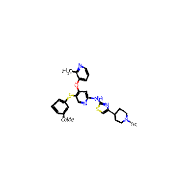 COc1cccc(Sc2cnc(Nc3nc(C4CCN(C(C)=O)CC4)cs3)cc2Oc2cccnc2C)c1